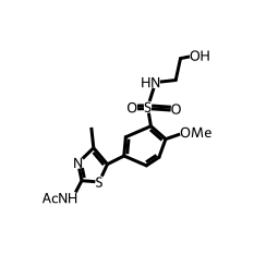 COc1ccc(-c2sc(NC(C)=O)nc2C)cc1S(=O)(=O)NCCO